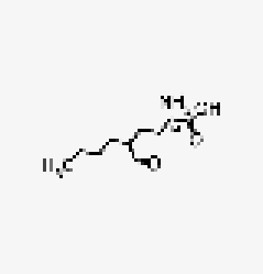 CCCCC(C=O)CC[C@H](N)C(=O)O